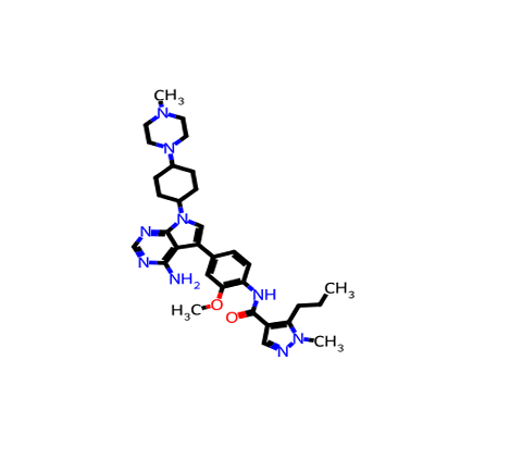 CCCc1c(C(=O)Nc2ccc(-c3cn(C4CCC(N5CCN(C)CC5)CC4)c4ncnc(N)c34)cc2OC)cnn1C